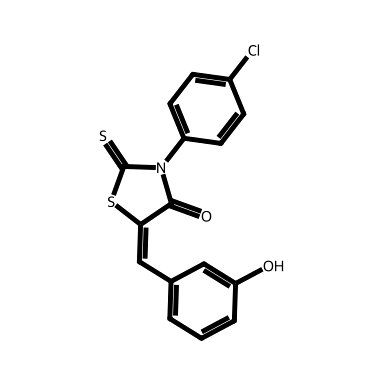 O=C1/C(=C\c2cccc(O)c2)SC(=S)N1c1ccc(Cl)cc1